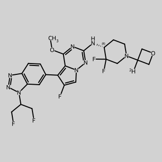 [2H]C1(N2CC[C@@H](Nc3nc(OC)c4c(-c5ccc6nnn(C(CF)CF)c6c5)c(F)cn4n3)C(F)(F)C2)COC1